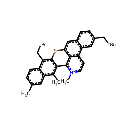 Cc1ccc2c(CC(C)C)c3c(c(C)c2c1)-c1c2c(cc4ccc(CC(C)(C)C)cc4c2cc[n+]1C)S3